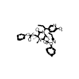 CCC(c1ccc(OC)nc1)N1C(=O)[C@](C)(SC(=O)Oc2ccccc2)N(C)C(=O)[C@]1(CCC#N)SC(=O)Oc1ccccc1